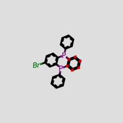 Brc1ccc(P(c2ccccc2)c2ccccc2)c(P(c2ccccc2)c2ccccc2)c1